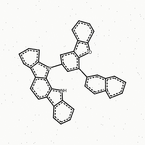 c1ccc2cc(-c3cc(-n4c5ccccc5c5ccc6c7ccccc7[nH]c6c54)cc4c3oc3ccccc34)ccc2c1